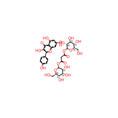 O=C(CC(=O)OC1O[C@H](CO)[C@@H](O)[C@H](O)[C@H]1O)OC1O[C@H](CO)[C@@H](O)[C@H](O)[C@H]1O.O=c1c(O)c(-c2ccc(O)cc2)oc2cc(O)cc(O)c12